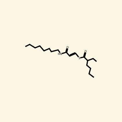 CCCCCCCCNC(=O)C=CSC(=O)C(CC)CCCC